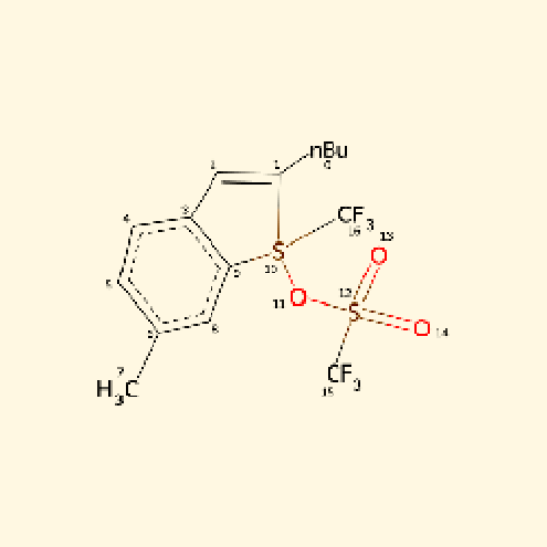 CCCCC1=Cc2ccc(C)cc2S1(OS(=O)(=O)C(F)(F)F)C(F)(F)F